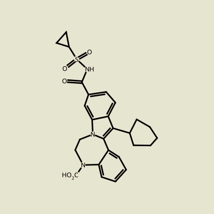 O=C(NS(=O)(=O)C1CC1)c1ccc2c(C3CCCCC3)c3n(c2c1)CCN(C(=O)O)c1ccccc1-3